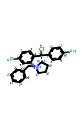 Fc1ccc(C(Cl)(c2ccc(F)cc2)[C@@H]2CCCN2Cc2ccccc2)cc1